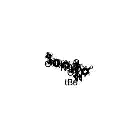 Cc1ccc(-n2nc(C(C)(C)C)cc2N(OS(C)(=O)=O)C(=O)Nc2ccc(N3CCN(C(=O)C4CCC4)CC3)nc2)cc1